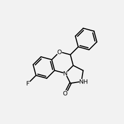 O=C1NCC2C(c3ccccc3)Oc3ccc(F)cc3N12